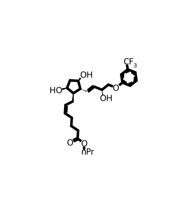 CCCOC(=O)CCC/C=C\C[C@@H]1[C@@H](/C=C/[C@@H](O)COc2cccc(C(F)(F)F)c2)[C@H](O)C[C@@H]1O